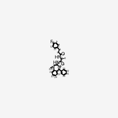 C[C@H](NC(=O)CCc1ccc(F)cc1)C(=O)N[C@@H]1CN(C)c2ccccc2C(c2ccccc2)=N1